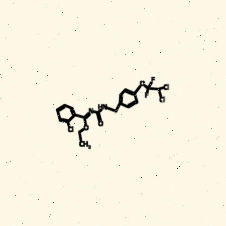 CCOC(=NC(=O)NCc1ccc(OC(F)(F)C(Cl)Cl)cc1)c1ccccc1Cl